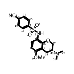 COc1ccc(NS(=O)(=O)c2ccc(C#N)cc2)c2c1C[C@@H](N(C)C)CO2